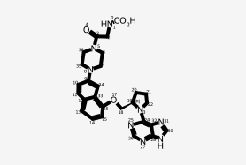 O=C(O)NCC(=O)N1CCN(c2ccc3cccc(OC[C@H]4CCCN4c4ncnc5[nH]cnc45)c3c2)CC1